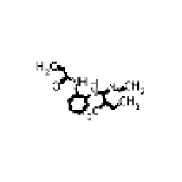 C=C/N=C(Nc1ccccc1NC(=O)C=C)\C(=C/C)C(F)(F)F